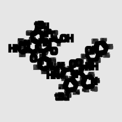 CC(C)[C@H](CO)NC(=O)C(c1ccc[n+](-c2nc(C(=O)N(c3ccc(C(C)(C)C)cc3)C(C(=O)N[C@@H](CO)Cc3ccccc3)c3cccnc3)c[nH]2)c1)N(C(=O)c1c[nH]cn1)c1ccc(C(C)(C)C)cc1